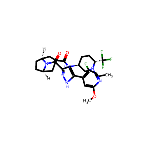 CCN1C[C@@H](NC(=O)C2C[C@H]3CC[C@@H](C2)N3C(=O)c2cc(-c3cc(OC)ncc3F)[nH]n2)CC[C@@H]1C(F)(F)F